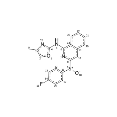 Cc1coc(Nc2nc([S@+]([O-])c3ccc(F)cc3)cc3ccccc23)n1